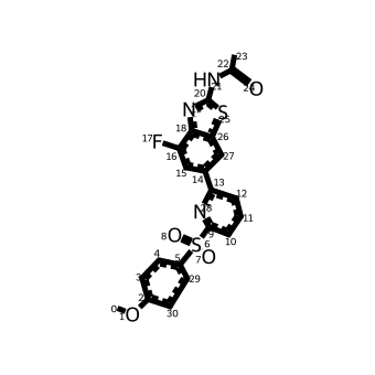 COc1ccc(S(=O)(=O)c2cccc(-c3cc(F)c4nc(NC(C)=O)sc4c3)n2)cc1